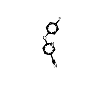 N#Cc1ccc(Oc2ccc(F)cc2)nc1